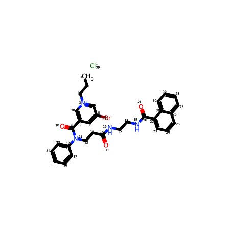 CCC[n+]1cc(Br)cc(C(=O)N(CCC(=O)NCCNC(=O)c2cccc3ccccc23)c2ccccc2)c1.[Cl-]